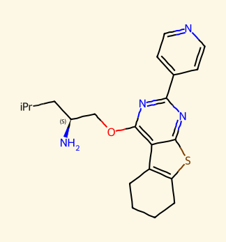 CC(C)C[C@H](N)COc1nc(-c2ccncc2)nc2sc3c(c12)CCCC3